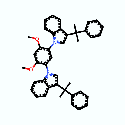 COc1cc(OC)c(-n2cc(C(C)(C)c3ccccc3)c3ccccc32)cc1-n1cc(C(C)(C)c2ccccc2)c2ccccc21